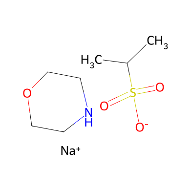 C1COCCN1.CC(C)S(=O)(=O)[O-].[Na+]